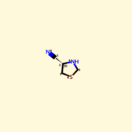 N#C[C@H]1CSCN1